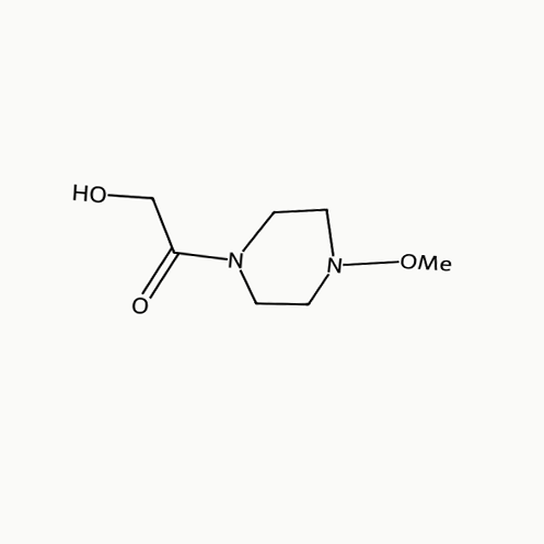 CON1CCN(C(=O)CO)CC1